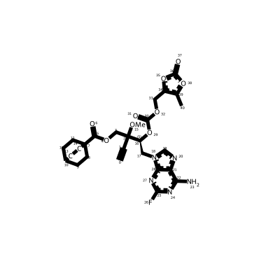 C#CC(COC(=O)C12CCC(CC1)CC2)(OC)[C@H](Cn1cnc2c(N)nc(F)nc21)OC(=O)OCc1oc(=O)oc1C